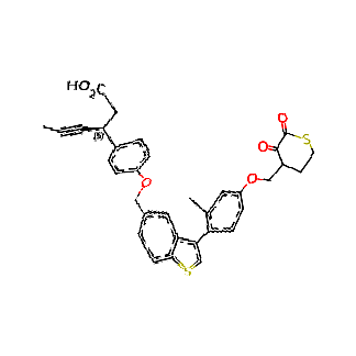 CC#C[C@@H](CC(=O)O)c1ccc(OCc2ccc3scc(-c4ccc(OCC5CCSC(=O)C5=O)cc4C)c3c2)cc1